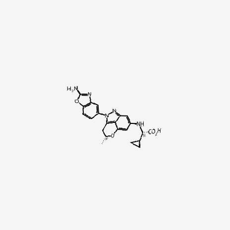 C[C@@H]1Cc2c3c(cc(N[C@H](C(=O)O)C4CC4)cc3nn2-c2ccc3oc(N)nc3c2)O1